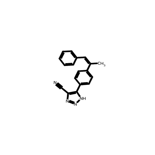 CC(=Cc1ccccc1)c1ccc(-c2[nH]nnc2C#N)cc1